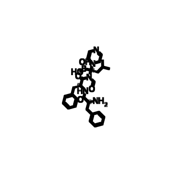 CC(C)C[C@@](B(O)O)(N1C=CN=CC1)N(C=O)C(=O)[C@H](Cc1ccccc1)NC(=O)[C@@H](N)Cc1ccccc1